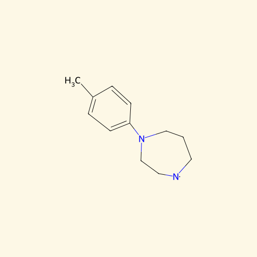 Cc1ccc(N2CCC[N]CC2)cc1